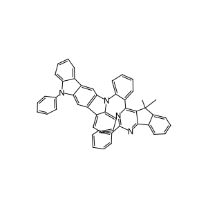 CC1(C)c2ccccc2-c2nc(-c3ccccc3)nc(-c3ccccc3-n3c4ccccc4c4cc5c(cc43)c3ccccc3n5-c3ccccc3)c21